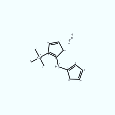 [CH3][Ge]([CH3])([CH3])[C]1=[C]([Hf][C]2=CC=CC2)CC=C1.[H-].[H-]